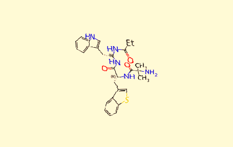 CCC(=O)N[C@@H](Cc1c[nH]c2ccccc12)NC(=O)[C@@H](Cc1csc2ccccc12)NC(=O)C(C)(C)N